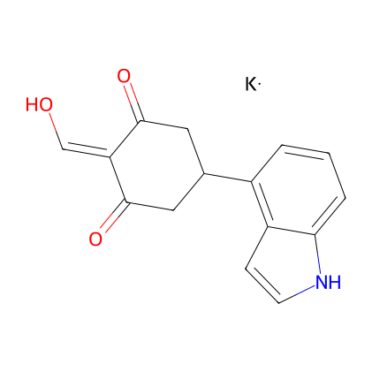 O=C1CC(c2cccc3[nH]ccc23)CC(=O)C1=CO.[K]